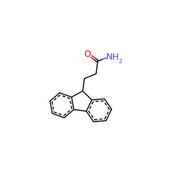 NC(=O)CCC1c2ccccc2-c2ccccc21